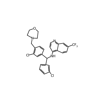 FC(F)(F)c1ccc2c(NC(c3cccc(Cl)c3)c3ccc(CN4CCOCC4)c(Cl)c3)ccnc2c1